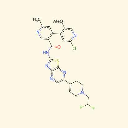 COc1cnc(Cl)cc1-c1cc(C)ncc1C(=O)Nc1nc2ncc(C3=CCN(CC(F)F)CC3)nc2s1